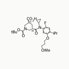 COCCCOc1cc(N(C(=O)[C@@H]2C[C@H](C(=O)O)CN(C(=O)OC(C)(C)C)C2)C2CC2)c(F)cc1C(C)C